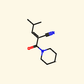 CC(C)C=C(C#N)C(=O)N1CC[CH]CC1